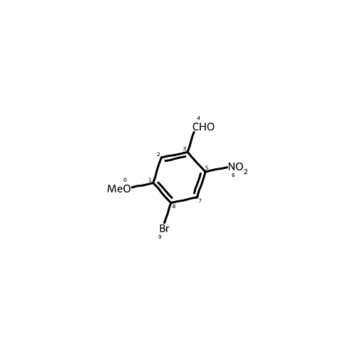 COc1cc(C=O)c([N+](=O)[O-])cc1Br